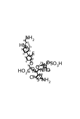 C[n+]1cc(-c2ccc(OCC(O/N=C(\C(=O)N[C@@H]3C(=O)N(OS(=O)(=O)O)C3(C)C)c3nc(N)sc3Cl)C(=O)O)cc2F)ccc1NCCN